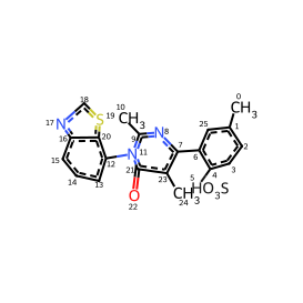 Cc1ccc(S(=O)(=O)O)c(-c2nc(C)n(-c3cccc4ncsc34)c(=O)c2C)c1